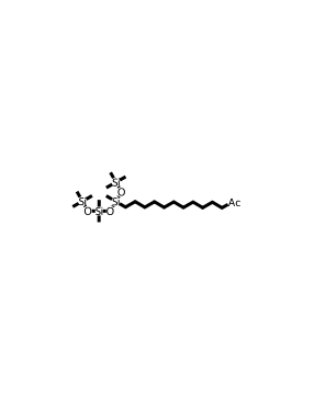 CC(=O)CCCCCCCCCCC[Si](C)(O[Si](C)(C)C)O[Si](C)(C)O[Si](C)(C)C